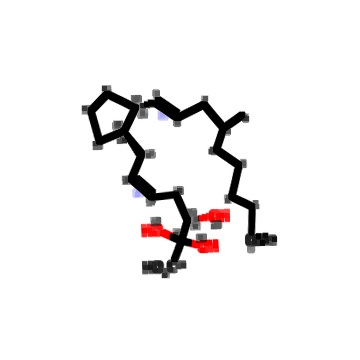 COCCCCC(C)C/C=C/[C@H]1CCC[C@@H]1C/C=C\C[C@H](O)C(O)(O)C(=O)O